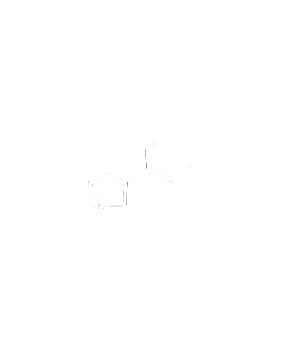 C/C=C(\S)c1cn[nH]c1